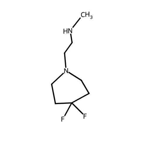 CNCCN1CCC(F)(F)CC1